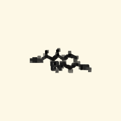 CCCCCCC(C)/C(C(=O)O)=C(\C)c1ccc([N+](=O)[O-])cc1[N+](=O)[O-]